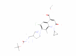 CCOC(=O)c1cc(=O)n(C2CC2)c2c(C)c(N3CCC([C@H](C)NC(=O)OC(C)(C)C)C3)c(F)cc12